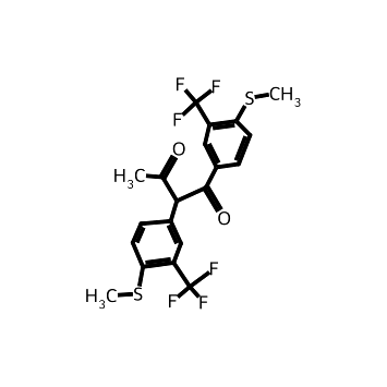 CSc1ccc(C(=O)C(C(C)=O)c2ccc(SC)c(C(F)(F)F)c2)cc1C(F)(F)F